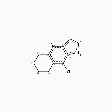 Clc1c2c(nc3ccnn13)CCCC2